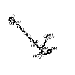 NC(=O)NCCCCC(=O)N[C@@H](CCCCNC(=O)CCOCCOCCOCCOCCOCCNC(=O)CN1C(=O)C=CC1=O)C(=O)N[C@@H](CC1=CCC(O)C=C1)C(=O)O